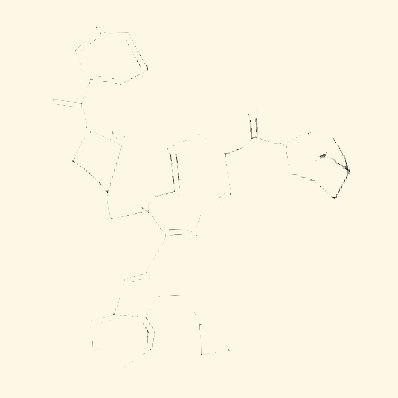 COc1cc(C(=O)N2CC3CC4CC2[C@H]43)cc2nc(-c3cc4ccccc4n3CC3CC3)n(CC3CN(C(=O)c4cccnc4)C3)c12